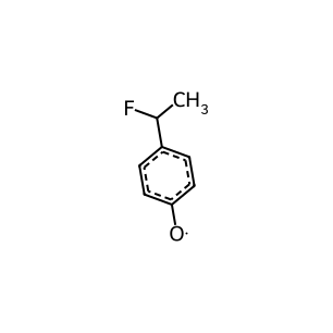 CC(F)c1ccc([O])cc1